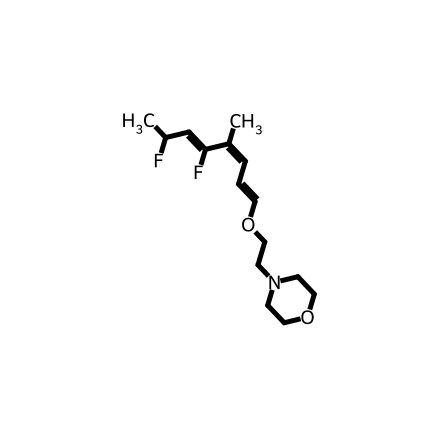 C/C(=C/C=C/OCCN1CCOCC1)C(F)=CC(C)F